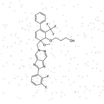 COC1(Cn2cc3nc(-c4cccc(F)c4F)nc-3cn2)C=CC(c2ccccc2)=C(C(F)(F)F)C1OCCCO